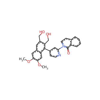 COc1cc2cc(CO)c(CO)c(-c3ccnc(-n4ccc5ccccc5c4=O)c3)c2cc1OC